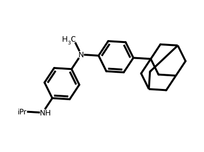 CC(C)Nc1ccc(N(C)c2ccc(C34CC5CC(CC(C5)C3)C4)cc2)cc1